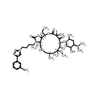 CC[C@H]1OC(=O)C(C)(F)C(=O)[C@@H](C)[C@@H](O[C@@H]2OC(C)CC(N(C)C)C2O)[C@](C)(OC)C[C@@H](C)CN[C@H](C)[C@H]2N(CCCCn3cc(-c4cccc(N)c4)nn3)C(=O)O[C@]12C